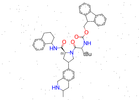 CC1Cc2ccc(C3C[C@@H](C(=O)NC4CCCc5ccccc54)N(C(=O)C(NC(=O)OCC4c5ccccc5-c5ccccc54)C(C)(C)C)C3)cc2CN1